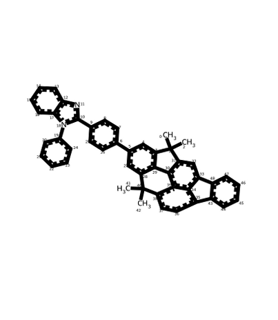 CC1(C)c2cc(-c3ccc(-c4nc5ccccc5n4-c4ccccc4)cc3)cc3c2-c2c1cc1c4c(ccc(c24)C3(C)C)-c2ccccc2-1